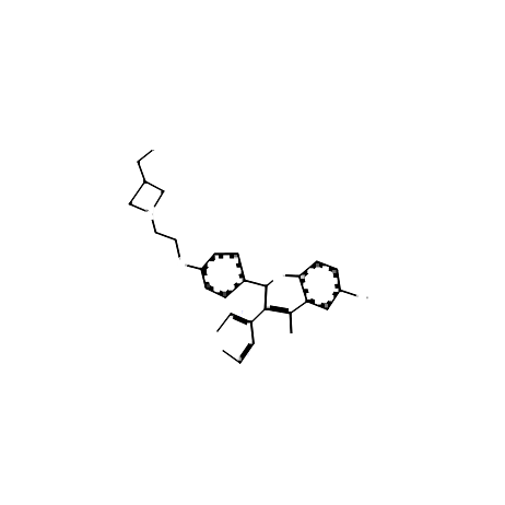 C/C=C\C(=C/C)C1=C(C)c2cc(O)ccc2OC1c1ccc(OCCN2CC(CF)C2)cc1